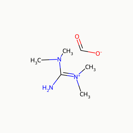 CN(C)C(N)=[N+](C)C.O=C[O-]